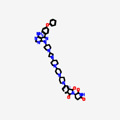 C=C1C(=O)N(C2CCC(=O)NC2=O)C(=O)/C1=C/C(=C\C)N1CCC(N2CCC(N3CCC(N4CC(N5CCC(n6nc(-c7ccc(Oc8ccccc8)cc7)c7c(N)ncnc76)CC5)C4)CC3)CC2)CC1